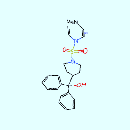 C=CN(/C=C\NC)S(=O)(=O)N1CCC(C(O)(c2ccccc2)c2ccccc2)CC1